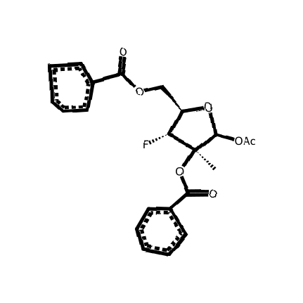 CC(=O)OC1O[C@H](COC(=O)c2ccccc2)[C@@H](F)[C@]1(C)OC(=O)c1ccccc1